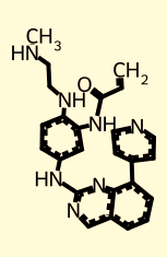 C=CC(=O)Nc1cc(Nc2ncc3cccc(-c4ccncc4)c3n2)ccc1NCCNC